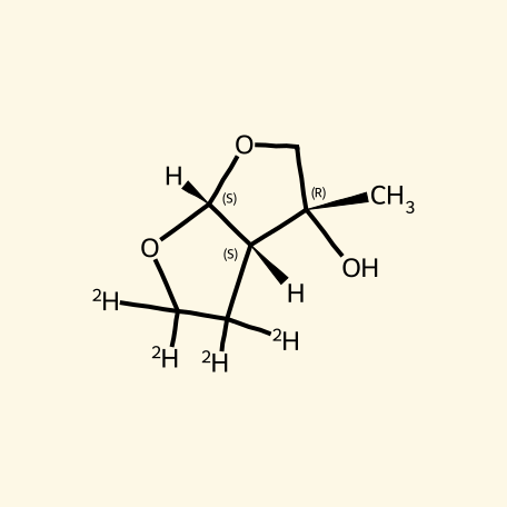 [2H]C1([2H])O[C@@H]2OC[C@](C)(O)[C@@H]2C1([2H])[2H]